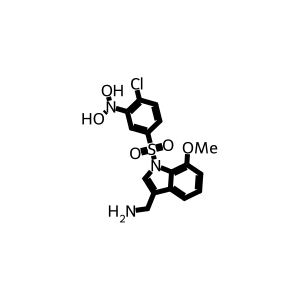 COc1cccc2c(CN)cn(S(=O)(=O)c3ccc(Cl)c(N(O)O)c3)c12